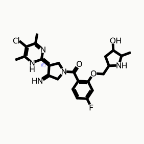 CC1=N/C(=C2\CN(C(=O)c3ccc(F)cc3OCC3CC(O)C(C)N3)CC2=N)NC(C)=C1Cl